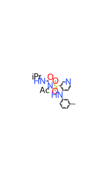 CC(=O)N(C(=O)NC(C)C)S(=O)(=O)c1cnccc1Nc1cccc(C)c1